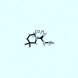 CC1(C)CC[C@@H](C(=O)O)N(C(=O)OC(C)(C)C)C1